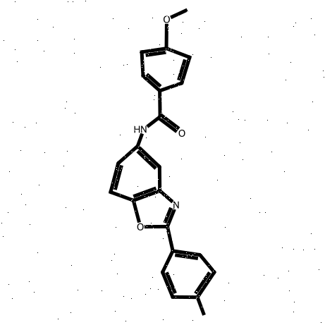 COc1ccc(C(=O)Nc2ccc3oc(-c4ccc(C)cc4)nc3c2)cc1